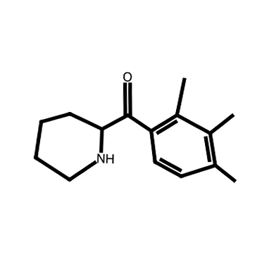 Cc1ccc(C(=O)C2CCCCN2)c(C)c1C